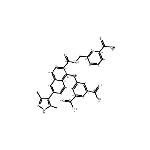 Cc1n[nH]c(C)c1-c1ccc2c(Nc3cc(C(=O)O)cc(C(=O)O)c3)c(C(=O)NCc3cccc(C(=O)O)c3)cnc2c1